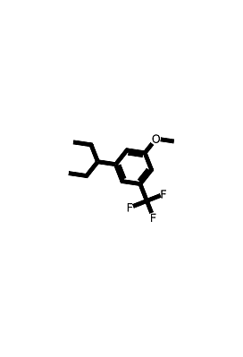 CCC(CC)c1cc(OC)cc(C(F)(F)F)c1